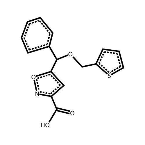 O=C(O)c1cc(C(OCc2cccs2)c2ccccc2)on1